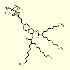 CCCCCCCC(CCCCCCC)C(=O)O[C@@H]1CC2(CCN(CCCO[Si](C)(C)C(C)(C)C)CC2)C[C@H]1OC(=O)C(CCCCCCC)CCCCCCC